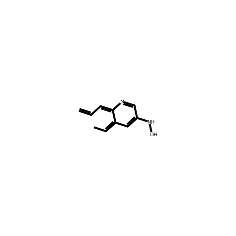 C=C/C=c1/ncc(NO)c/c1=C/C